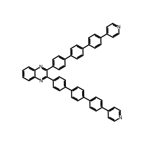 c1ccc2nc(-c3ccc(-c4ccc(-c5ccc(-c6ccncc6)cc5)cc4)cc3)c(-c3ccc(-c4ccc(-c5ccc(-c6ccncc6)cc5)cc4)cc3)nc2c1